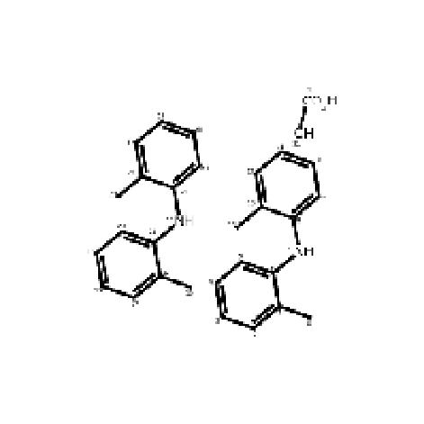 Cc1ccccc1Nc1ccccc1C.Cc1ccccc1Nc1ccccc1C.O=C(O)O